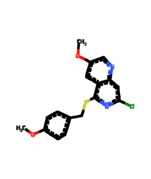 COc1ccc(CSc2nc(Cl)cc3ncc(OC)cc23)cc1